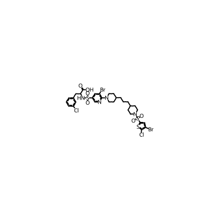 O=C(O)C(Cc1cccc(Cl)c1)NS(=O)(=O)c1cnc(N2CCC(CCCC3CCN(S(=O)(=O)c4cc(Br)c(Cl)s4)CC3)CC2)c(Br)c1